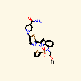 CCOCCN(c1cccc2cc(-c3ncc(CN4CCC(C(N)=O)CC4)s3)[nH]c12)S(=O)(=O)c1cccs1